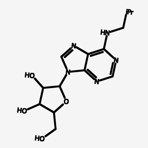 CC(C)CNc1ncnc2c1ncn2C1OC(CO)C(O)C1O